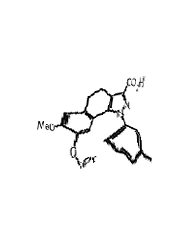 COc1cc2c(cc1OC(C)C)-c1c(c(C(=O)O)nn1-c1cccc(C)c1)CC2